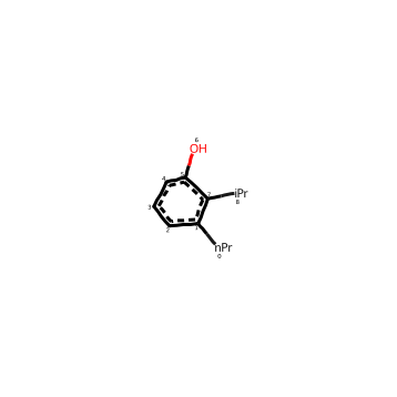 CCCc1cccc(O)c1C(C)C